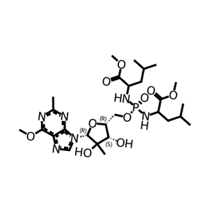 COC(=O)C(CC(C)C)NP(=O)(NC(CC(C)C)C(=O)OC)OC[C@H]1O[C@@H](n2cnc3c(OC)nc(C)nc32)C(C)(O)[C@H]1O